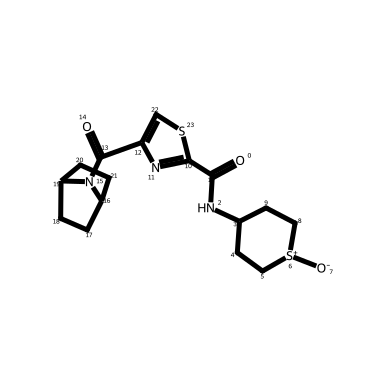 O=C(NC1CC[S+]([O-])CC1)c1nc(C(=O)N2C3CCC2CC3)cs1